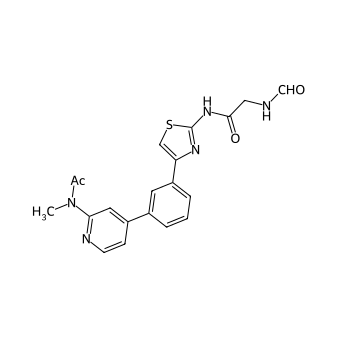 CC(=O)N(C)c1cc(-c2cccc(-c3csc(NC(=O)CNC=O)n3)c2)ccn1